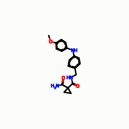 COc1ccc(Nc2ccc(CNC(=O)C3(C(N)=O)CC3)cc2)cc1